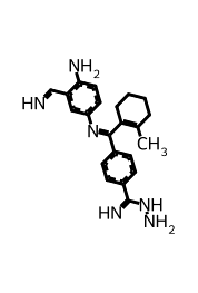 CC1=C(/C(=N\c2ccc(N)c(C=N)c2)c2ccc(C(=N)NN)cc2)CCCC1